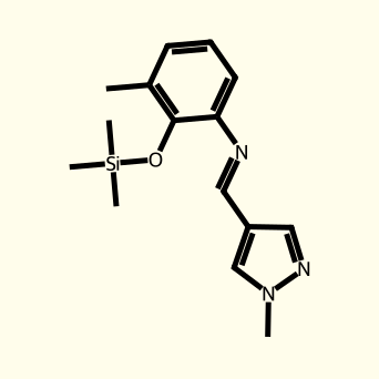 Cc1cccc(N=Cc2cnn(C)c2)c1O[Si](C)(C)C